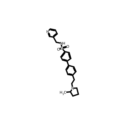 CC1CCCN1CCc1ccc(-c2ccc(S(=O)(=O)NCc3cccnc3)cc2)cc1